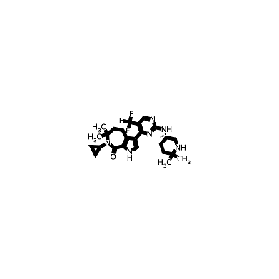 CC1(C)CC[C@H](Nc2ncc(C(F)(F)F)c(-c3c[nH]c4c3CCC(C)(C)N(C3CC3)C4=O)n2)CN1